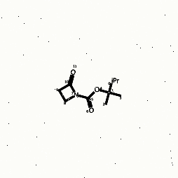 CC(C)C(C)(C)OC(=O)N1CCC1=O